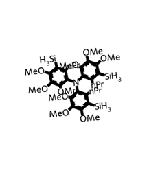 CCCc1c([SiH3])c(OC)c(OC)c(OC)c1N(c1c(CCC)c([SiH3])c(OC)c(OC)c1OC)c1c(CCC)c([SiH3])c(OC)c(OC)c1OC